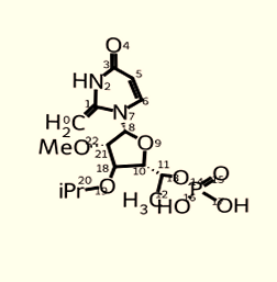 C=C1NC(=O)C=CN1[C@@H]1O[C@H](C(C)OP(=O)(O)O)C(OC(C)C)[C@@H]1OC